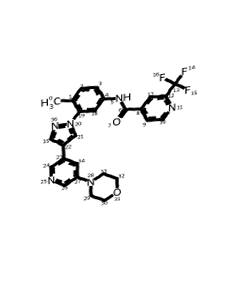 Cc1ccc(NC(=O)c2ccnc(C(F)(F)F)c2)cc1-n1cc(-c2cncc(N3CCOCC3)c2)cn1